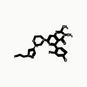 Cc1nc2cc(N3CCO[C@@H](c4cnn(CCF)c4)C3)nc(-c3ccc(Cl)cc3F)c2c(=O)n1C